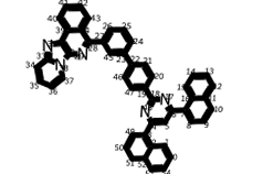 C1=CC2=C(c3cc(-c4cccc5ccccc45)nc(-c4ccc(-c5cccc(-c6nc7c(nc8ccccn87)c7ccccc67)c5)cc4)n3)C=CCC2C=C1